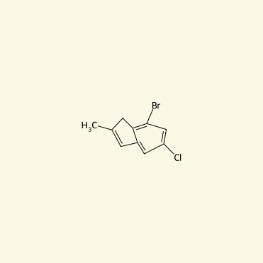 CC1=Cc2cc(Cl)cc(Br)c2C1